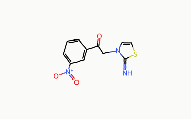 N=c1sccn1CC(=O)c1cccc([N+](=O)[O-])c1